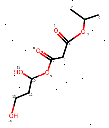 CC(C)OC(=O)CC(=O)OC(O)CCO